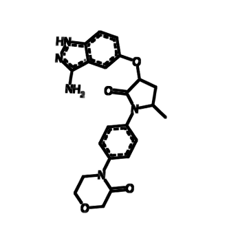 CC1CC(Oc2ccc3[nH]nc(N)c3c2)C(=O)N1c1ccc(N2CCOCC2=O)cc1